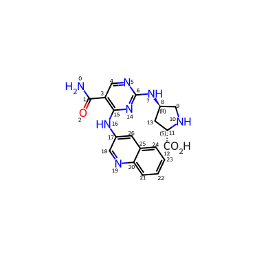 NC(=O)c1cnc(N[C@H]2CN[C@H](C(=O)O)C2)nc1Nc1cnc2ccccc2c1